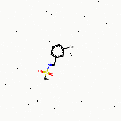 CC(C)(C)S(=O)(=O)/N=C/c1cccc(C#N)c1